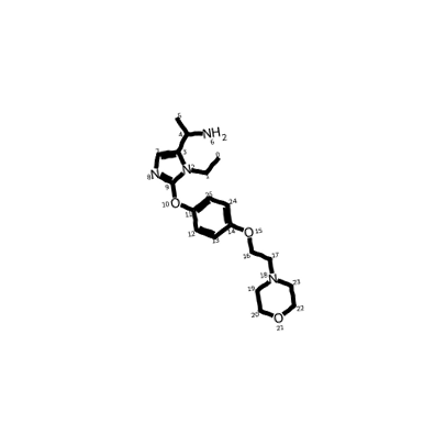 CCn1c(C(C)N)cnc1Oc1ccc(OCCN2CCOCC2)cc1